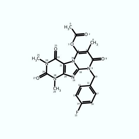 CC(=O)Oc1c(C)c(=O)n(Cc2ccc(F)cc2)c2nc3c(c(=O)n(C)c(=O)n3C)n12